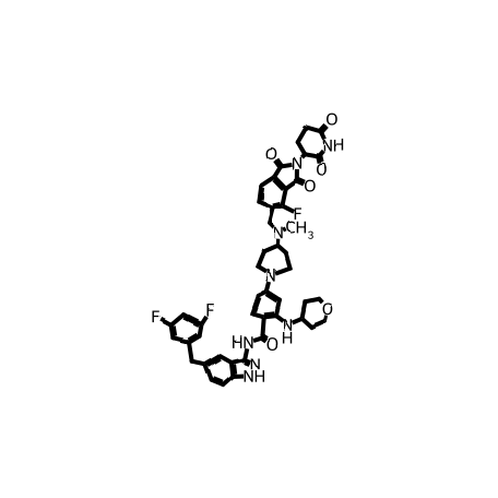 CN(Cc1ccc2c(c1F)C(=O)N(C1CCC(=O)NC1=O)C2=O)C1CCN(c2ccc(C(=O)Nc3n[nH]c4ccc(Cc5cc(F)cc(F)c5)cc34)c(NC3CCOCC3)c2)CC1